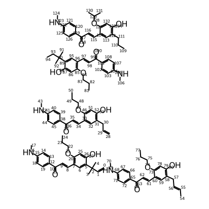 C=CC(C)(C)c1cc(C=CC(=O)c2ccc(NC)cc2)c(OCCC)cc1O.C=CCc1cc(C=CC(=O)c2ccc(NC)cc2)c(OCCC)cc1O.CC=CCc1cc(C=CC(=O)c2ccc(NC)cc2)c(OCCC)cc1O.CCCOc1cc(O)c(C(C)(C)CC)cc1C=CC(=O)c1ccc(NC)cc1.CCCc1cc(C=CC(=O)c2ccc(NC)cc2)c(OC(C)C)cc1O